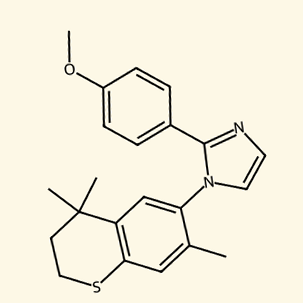 COc1ccc(-c2nccn2-c2cc3c(cc2C)SCCC3(C)C)cc1